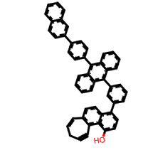 Oc1ccc(-c2cccc(-c3c4ccccc4c(-c4ccc(-c5ccc6ccccc6c5)cc4)c4ccccc34)c2)c2ccc3c(c12)C#CCC=C3